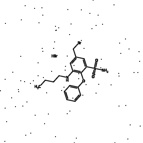 Br.CCCCNc1cc(CBr)cc(S(N)(=O)=O)c1Oc1ccccc1